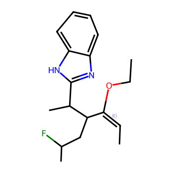 C/C=C(/OCC)C(CC(C)F)C(C)c1nc2ccccc2[nH]1